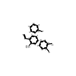 C=Cc1ccccc1CC.Cc1ccccc1.Cc1ccccc1C